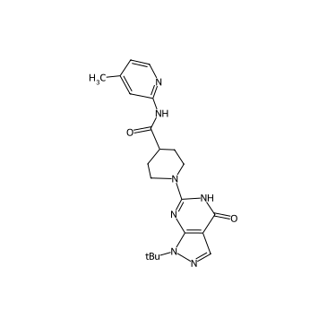 Cc1ccnc(NC(=O)C2CCN(c3nc4c(cnn4C(C)(C)C)c(=O)[nH]3)CC2)c1